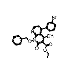 CCOC(=O)c1c(O)c2c(-c3cccc(Br)c3)ccnc2n(OCc2ccccc2)c1=O